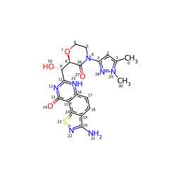 Cc1cc(N2CCO[C@H]([C@@H](O)c3nc(=O)c4c(ccc5c(N)nsc54)[nH]3)C2=O)nn1C